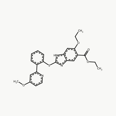 CCOC(=O)c1cc2nc(Sc3ccccc3-c3cc(OC)ccn3)[nH]c2cc1OCC